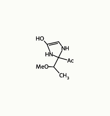 COC(C)C1(C(C)=O)NC=C(O)N1